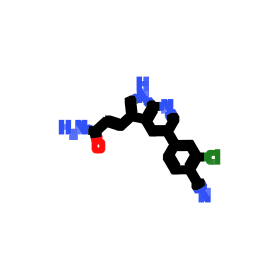 N#Cc1ccc(-c2cnc3[nH]cc(C=CC(N)=O)c3c2)cc1Cl